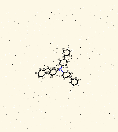 c1ccc(-c2ccc(N(c3ccc(-c4ccccc4)cc3)c3ccc4c(c3)Cc3ccccc3-4)cc2)cc1